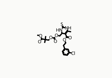 COC(=O)C(C)(C)COC(=O)OCC1NC(=S)NC(C)=C1C(=O)OCCc1cccc(Cl)c1